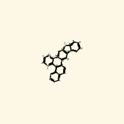 c1ccc2c(c1)ccc1c3cc4c(cc3c3nccnc3c21)sc1ccccc14